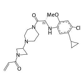 C=CC(=O)N1CC(N2CCN(C(=O)[C@H](C)Nc3cc(C4CC4)c(Cl)cc3OC)CC2)C1